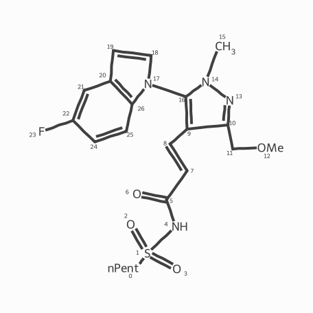 CCCCCS(=O)(=O)NC(=O)C=Cc1c(COC)nn(C)c1-n1ccc2cc(F)ccc21